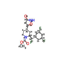 COC(=O)N1CC[C@@H](c2cc(=O)[nH]o2)C[C@H]1C(F)c1cc(F)cc(F)c1